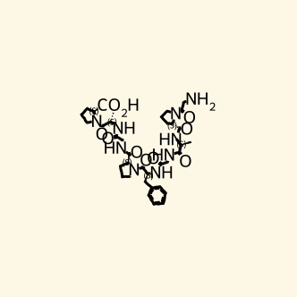 C[C@H](NC(=O)[C@@H]1CCCN1C(=O)CN)C(=O)NCC(=O)N[C@@H](Cc1ccccc1)C(=O)N1CCC[C@H]1C(=O)NCC(=O)N[C@@H](C)C(=O)N1CCC[C@H]1C(=O)O